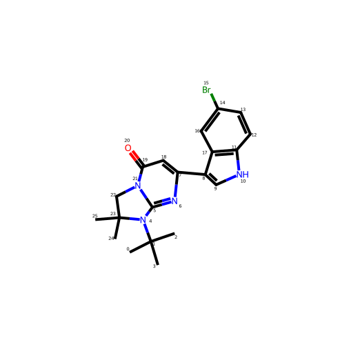 CC(C)(C)N1c2nc(-c3c[nH]c4ccc(Br)cc34)cc(=O)n2CC1(C)C